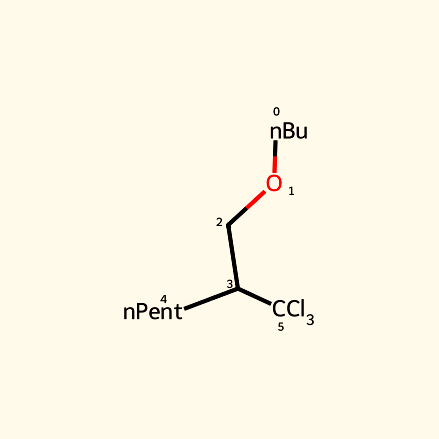 [CH2]CCCOCC(CCCCC)C(Cl)(Cl)Cl